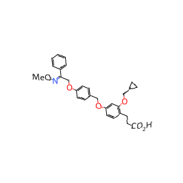 CON=C(COc1ccc(COc2ccc(CCC(=O)O)c(OCC3CC3)c2)cc1)c1ccccc1